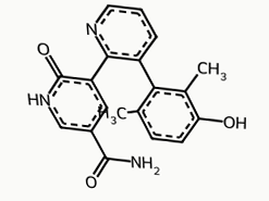 Cc1ccc(O)c(C)c1-c1cccnc1-c1cc(C(N)=O)c[nH]c1=O